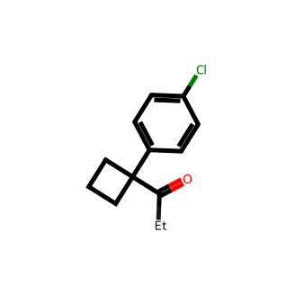 CCC(=O)C1(c2ccc(Cl)cc2)CCC1